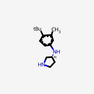 Cc1cc(N[C@@H]2CCNC2)ccc1C(C)(C)C